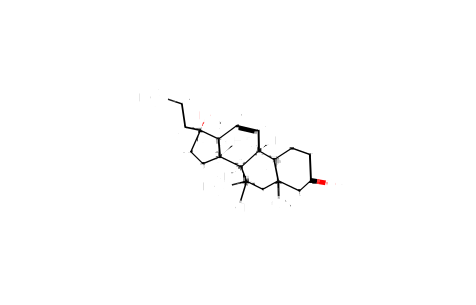 CC1(C(=O)O)CC2(C#N)CC(=O)CC[C@]2(C)[C@H]2C=C[C@@]3(C)[C@@H](CC[C@]3(O)CCC(=O)O)[C@@H]21